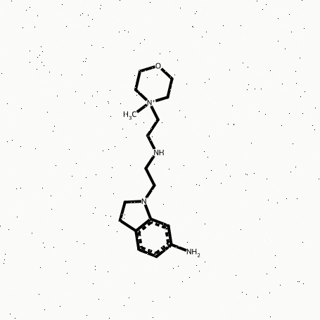 C[N+]1(CCNCCN2CCc3ccc(N)cc32)CCOCC1